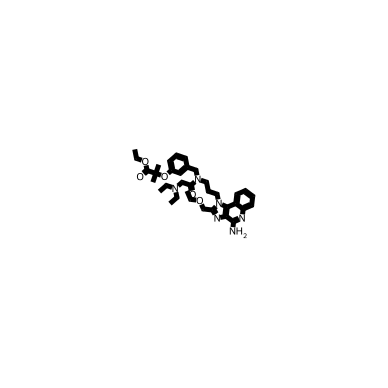 CCOCc1nc2c(N)nc3ccccc3c2n1CCCN(Cc1cccc(OC(C)(C)C(=O)OCC)c1)C(=O)CN(CC)CC